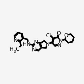 CCc1ncccc1CNc1ncc2c(n1)CN(c1cnn(C3CCCCO3)c(=O)c1Cl)C2